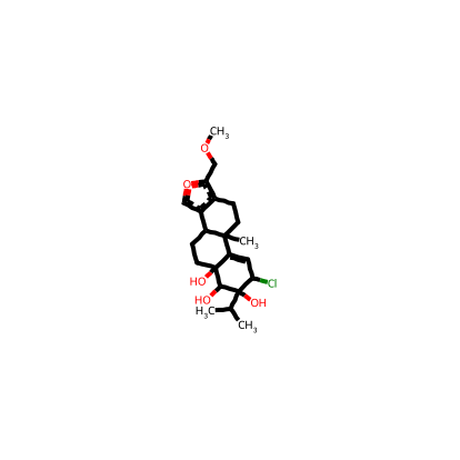 COCc1occ2c1CCC1(C)C3=CC(Cl)C(O)(C(C)C)C(O)C3(O)CCC21